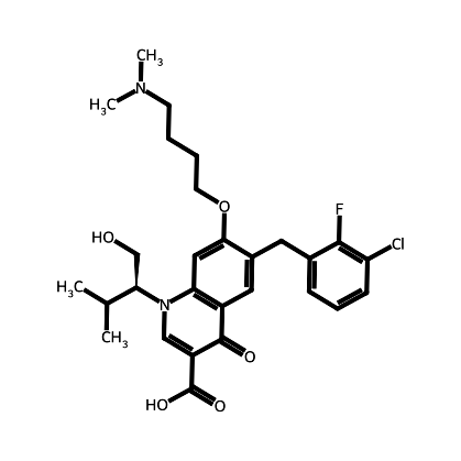 CC(C)[C@@H](CO)n1cc(C(=O)O)c(=O)c2cc(Cc3cccc(Cl)c3F)c(OCCCCN(C)C)cc21